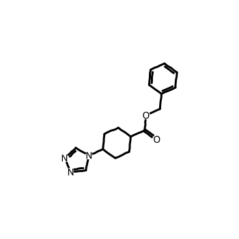 O=C(OCc1ccccc1)C1CCC(n2cnnc2)CC1